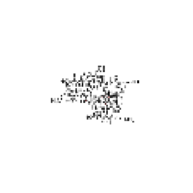 CC[C@H](C)[C@H](NC(=O)[C@H](CCCCN)NC(=O)[C@H](CC(C)C)NC(=O)[C@H](CC(=O)O)NC(=O)[C@@H](NC(=O)[C@@H](NC(=O)[C@@H](NC(=O)[C@H](CO)NC(=O)[C@@H](NC(=O)[C@H](CCCCN)NC(=O)[C@H](CO)NC(=O)[C@@H](NC(=O)[C@@H](NC(=O)[C@H](Cc1ccccc1)NC(=O)[C@H](CCCNC(=N)N)NC(=O)CNC(=O)[C@H](CCCCN)NC(=O)[C@H](C)NC(=O)CN)[C@@H](C)O)[C@@H](C)CC)[C@@H](C)O)[C@@H](C)O)[C@@H](C)O)C(C)C)C(=O)N[C@H](C(=O)O)[C@@H](C)O